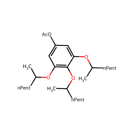 CCCCCC(C)Oc1cc(OC(C)=O)cc(OC(C)CCCCC)c1OC(C)CCCCC